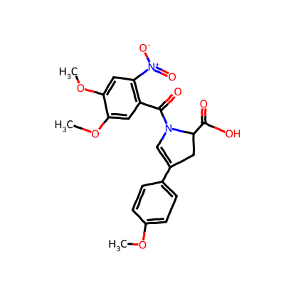 COc1ccc(C2=CN(C(=O)c3cc(OC)c(OC)cc3[N+](=O)[O-])C(C(=O)O)C2)cc1